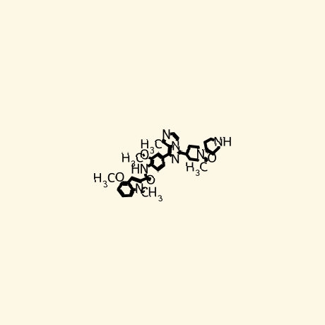 COc1cc(-c2nc(C3CC[N+](C(C)=O)(C4CCNCC4)CC3)n3ccnc(C)c23)ccc1NC(=O)c1cc2c(OC)cccc2n1C